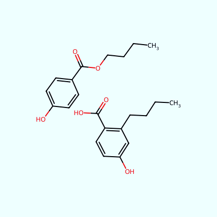 CCCCOC(=O)c1ccc(O)cc1.CCCCc1cc(O)ccc1C(=O)O